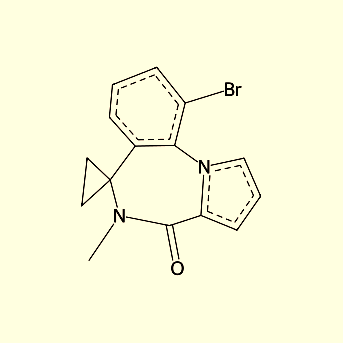 CN1C(=O)c2cccn2-c2c(Br)cccc2C12CC2